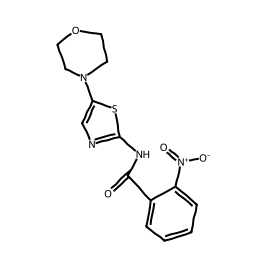 O=C(Nc1ncc(N2CCOCC2)s1)c1ccccc1[N+](=O)[O-]